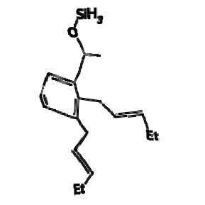 CCC=CCc1cccc(C(C)O[SiH3])c1CC=CCC